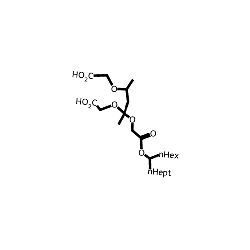 CCCCCCCC(CCCCCC)OC(=O)COC(C)(CC(C)OCC(=O)O)OCC(=O)O